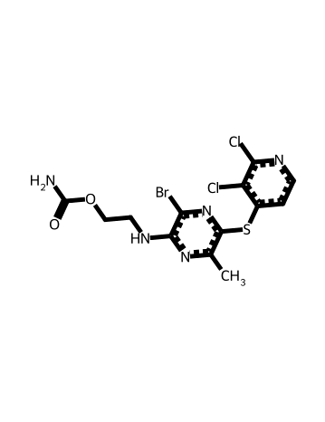 Cc1nc(NCCOC(N)=O)c(Br)nc1Sc1ccnc(Cl)c1Cl